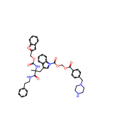 CC(Cc1cn(C(=O)OCOC(=O)c2ccc(CN3CCNCC3)cc2)c2ccccc12)(NC(=O)OCc1cc2ccccc2o1)C(=O)NCCc1ccccc1